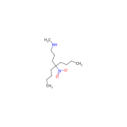 CCCCC(CCCC)(CCCNC)[N+](=O)[O-]